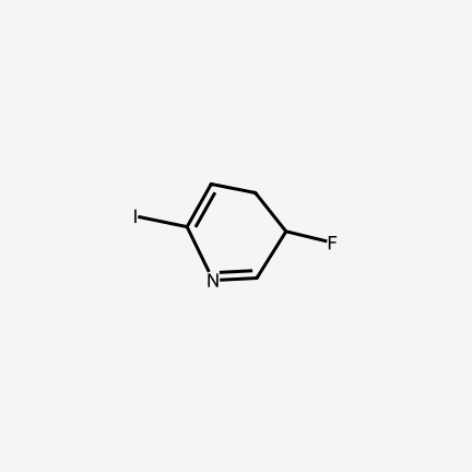 FC1C=NC(I)=CC1